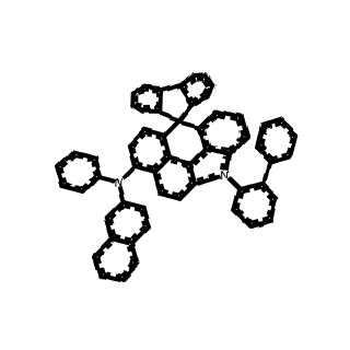 c1ccc(-c2ccccc2-n2c3cccc4c3c3c5c(ccc(N(c6ccccc6)c6ccc7ccccc7c6)c5ccc32)C42c3ccccc3-c3ccccc32)cc1